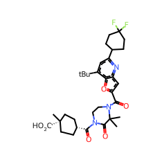 CC(C)(C)c1cc(C2CCC(F)(F)CC2)nc2cc(C(=O)N3CCN(C(=O)[C@H]4CC[C@@](C)(C(=O)O)CC4)C(=O)C3(C)C)oc12